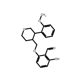 COc1ccccc1C1COCCC1COc1cccc(O)c1C=O